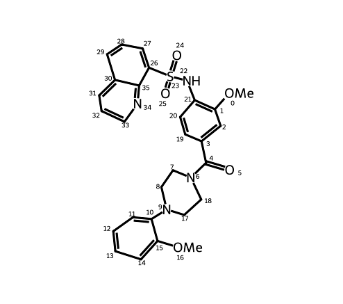 COc1cc(C(=O)N2CCN(c3ccccc3OC)CC2)ccc1NS(=O)(=O)c1cccc2cccnc12